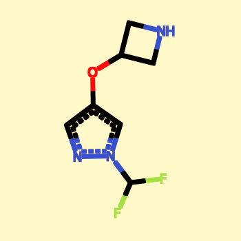 FC(F)n1cc(OC2CNC2)cn1